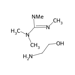 C/N=C(\NC)N(C)C.NCCO